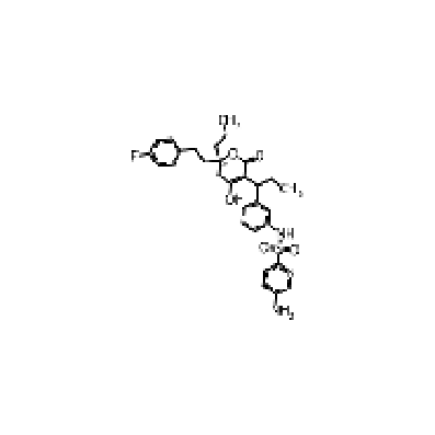 CCC[C@]1(CCc2ccc(F)cc2)CC(O)=C(C(CC)c2cccc(NS(=O)(=O)c3ccc(N)cn3)c2)C(=O)O1